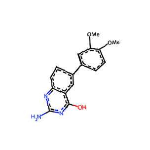 COc1ccc(-c2ccc3nc(N)nc(O)c3c2)cc1OC